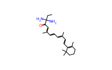 CCC(N)(N)C(=O)C=C(C)C=CC=C(C)C=CC1=C(C)CCCC1(C)C